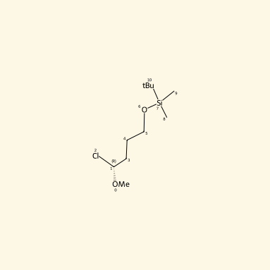 CO[C@H](Cl)CCCO[Si](C)(C)C(C)(C)C